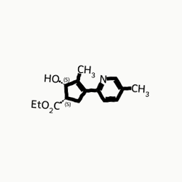 CCOC(=O)[C@H]1CC(c2ccc(C)cn2)=C(C)[C@H]1O